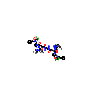 CN[C@@H](C)C(=O)N[C@@H](CCC(=O)NCCNC(=O)CC[C@H](NC(=O)[C@H](C)NC)C(=O)N1CCC[C@H]1CN(CCc1ccccc1)C(=O)C(F)(F)F)C(=O)N1CCC[C@H]1CN(CCc1ccccc1)C(=O)C(F)(F)F